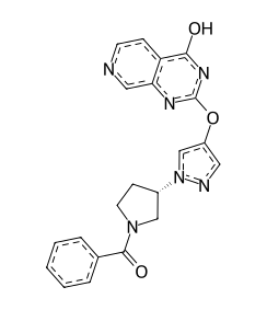 O=C(c1ccccc1)N1CC[C@H](n2cc(Oc3nc(O)c4ccncc4n3)cn2)C1